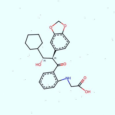 O=C(O)CNc1ccccc1C(=O)[C@H](c1ccc2c(c1)OCO2)[C@H](O)C1CCCCC1